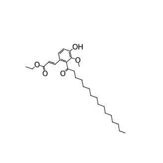 CCCCCCCCCCCCCCCC(=O)c1c(C=CC(=O)OCC)ccc(O)c1OC